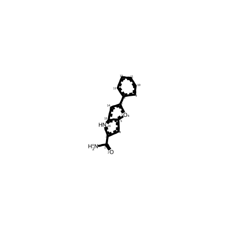 NC(=O)c1cc2oc(-c3ccccc3)cc2[nH]1